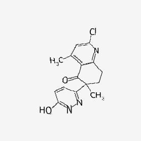 Cc1cc(Cl)nc2c1C(=O)C(C)(c1ccc(O)nn1)CC2